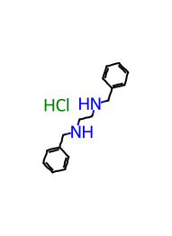 Cl.c1ccc(CNCCNCc2ccccc2)cc1